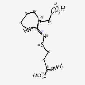 N[C@H](CCS/N=C1\NCCCN1CC(=O)O)C(=O)O